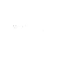 C=C(COOC)C1CCCS1